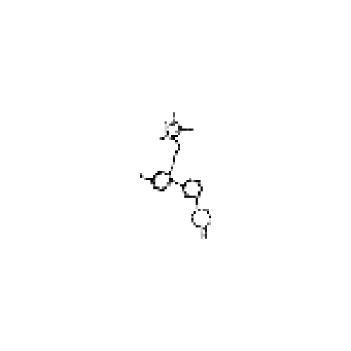 Cc1n[nH]c(C)c1CCOc1cc(F)ccc1-c1cccc(N2CCNCC2)c1